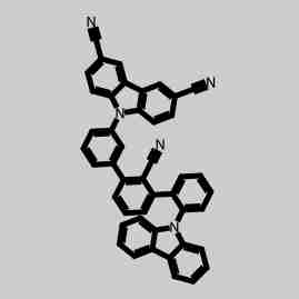 N#Cc1ccc2c(c1)c1cc(C#N)ccc1n2-c1cccc(-c2cccc(-c3ccccc3-n3c4ccccc4c4ccccc43)c2C#N)c1